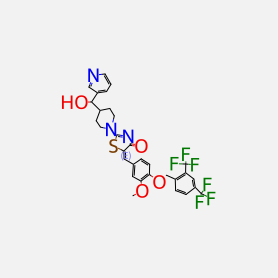 COc1cc(/C=C2/SC(N3CCC(C(O)c4cccnc4)CC3)=NC2=O)ccc1OCc1ccc(C(F)(F)F)cc1C(F)(F)F